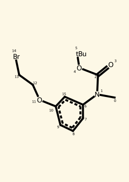 CN(C(=O)OC(C)(C)C)c1cccc(OCCBr)c1